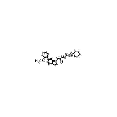 COc1cnccc1-c1ccc2ccn(CC(=O)NCCNCC3CCCCC3)c2c1